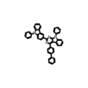 c1ccc(-c2ccc(-c3nc(-c4ccc5c(c4)c4ccccc4n5-c4ccccc4)nc4c3c3ccccc3n4-c3ccccc3)cc2)cc1